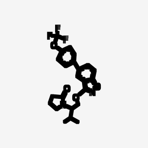 CC(C)C(COc1noc2ccc(-c3ccc(OC(F)(F)F)cc3)cc12)N1CCCC1=O